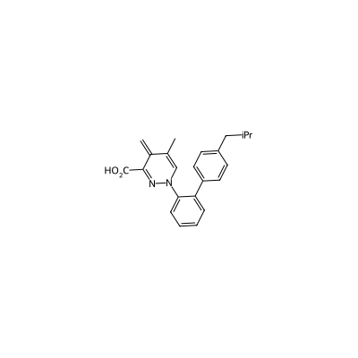 C=C1C(C)=CN(c2ccccc2-c2ccc(CC(C)C)cc2)N=C1C(=O)O